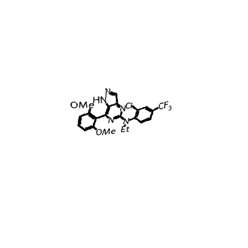 CCN(c1nc(-c2c(OC)cccc2OC)c2[nH]ncc2n1)c1ccc(C(F)(F)F)cc1Cl